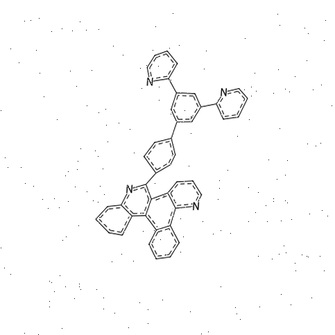 c1ccc(-c2cc(-c3ccc(-c4nc5ccccc5c5c6ccccc6c6ncccc6c45)cc3)cc(-c3ccccn3)c2)nc1